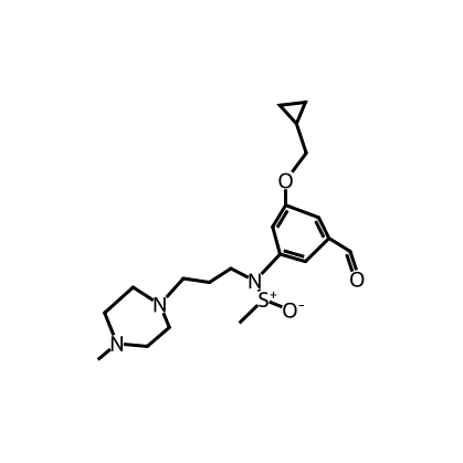 CN1CCN(CCCN(c2cc(C=O)cc(OCC3CC3)c2)[S+](C)[O-])CC1